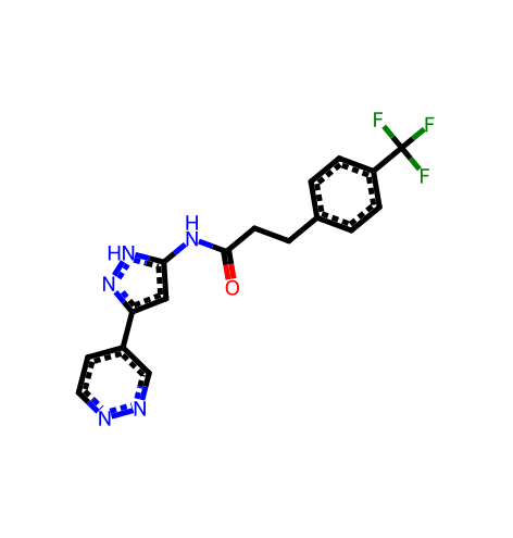 O=C(CCc1ccc(C(F)(F)F)cc1)Nc1cc(-c2ccnnc2)n[nH]1